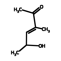 CC(=O)C(C)=CC(C)O